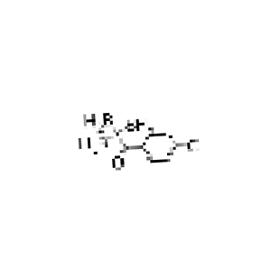 BC(B)(B)C(=O)c1ccc(Cl)cc1